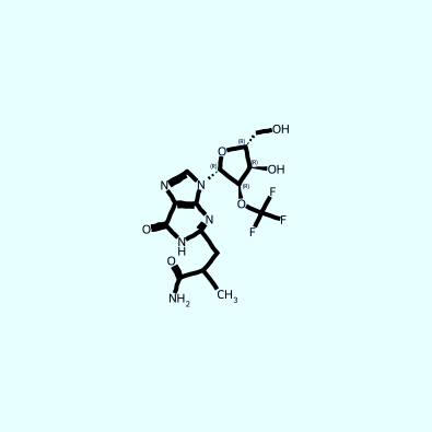 CC(Cc1nc2c(ncn2[C@@H]2O[C@H](CO)[C@@H](O)[C@H]2OC(F)(F)F)c(=O)[nH]1)C(N)=O